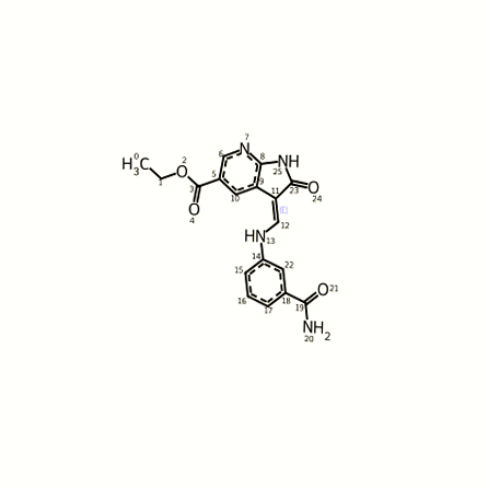 CCOC(=O)c1cnc2c(c1)/C(=C\Nc1cccc(C(N)=O)c1)C(=O)N2